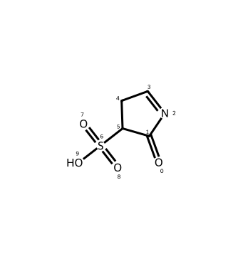 O=C1N=CCC1S(=O)(=O)O